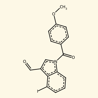 COc1ccc(C(=O)n2cc(C=O)c3c(I)cccc32)cc1